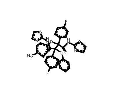 Cc1ccc(OC(C(=O)Nc2nccs2)(c2ccc(F)cc2)C(Oc2ccccc2)(C(=O)Nc2nccs2)c2ccc(F)cc2)cc1